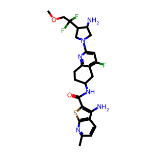 COCC(F)(F)C1CN(c2cc(F)c3c(n2)CCC(NC(=O)c2sc4nc(C)ccc4c2N)C3)CC1N